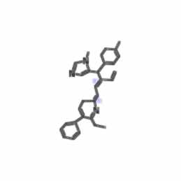 C=C/C(=C\C=C1/CC=C(c2ccccc2)C(CC)=N1)C(C1=CC=C(C)CC1)c1cncn1C